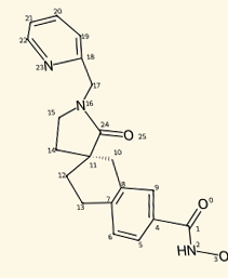 O=C(NO)c1ccc2c(c1)C[C@]1(CC2)CCN(Cc2ccccn2)C1=O